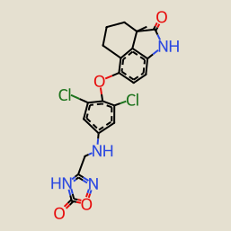 CC12CCCc3c(Oc4c(Cl)cc(NCc5noc(=O)[nH]5)cc4Cl)ccc(c31)NC2=O